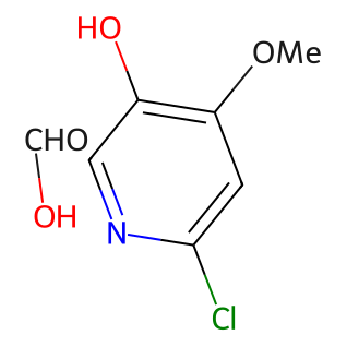 COc1cc(Cl)ncc1O.O=CO